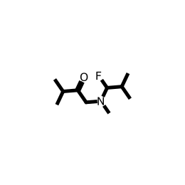 CC(C)C(=O)CN(C)C(F)C(C)C